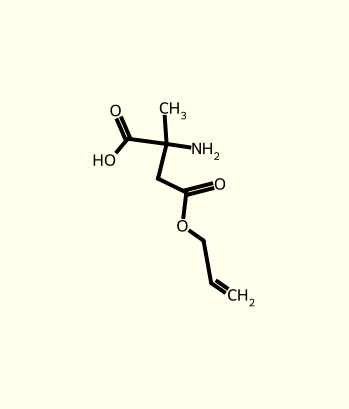 C=CCOC(=O)CC(C)(N)C(=O)O